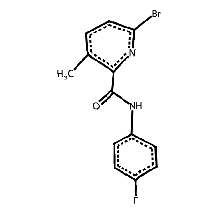 Cc1ccc(Br)nc1C(=O)Nc1ccc(F)cc1